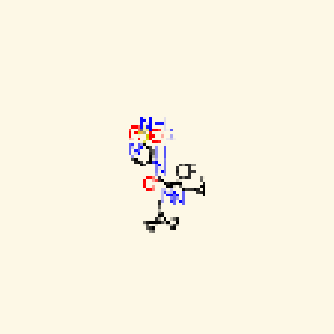 NS(=O)(=O)c1cc(NC(=O)c2c(C(F)(F)F)c(C3CC3)nn2CC2C3(CC3)C23CC3)ccn1